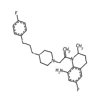 C=C(CN1CCC(CCCc2ccc(F)cc2)CC1)N1c2c(N)cc(F)cc2CCC1C